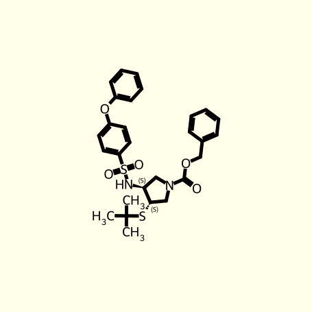 CC(C)(C)S[C@H]1CN(C(=O)OCc2ccccc2)C[C@@H]1NS(=O)(=O)c1ccc(Oc2ccccc2)cc1